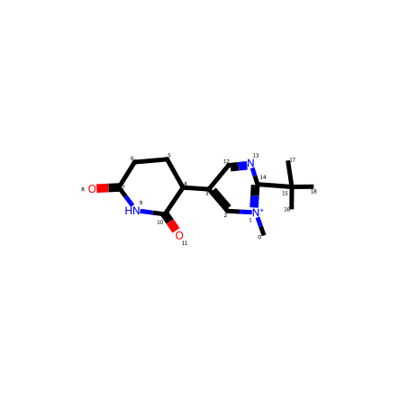 C[n+]1cc(C2CCC(=O)NC2=O)cnc1C(C)(C)C